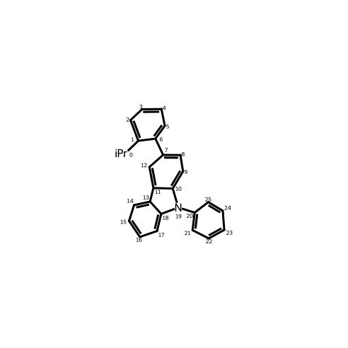 CC(C)c1ccccc1-c1ccc2c(c1)c1ccccc1n2-c1ccccc1